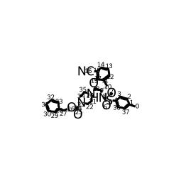 Cc1ccc(S(=O)(=O)N[C@@H](Cc2cccc(C#N)c2)C(=O)N2CCN(C(=O)OCc3ccccc3)CC2)cc1